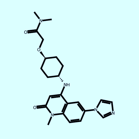 CN(C)C(=O)CO[C@H]1CC[C@H](Nc2cc(=O)n(C)c3ccc(-n4ccnc4)cc23)CC1